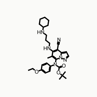 CCOc1ccc(N(C(=O)OC(C)(C)C)c2c(C)c(NCCCNC3CCCCC3)c(C#N)c3ccnn23)cc1